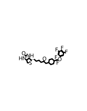 O=C(CCCC[C@@H]1SCC2NC(=O)NC21)CC1CCC(C(F)(F)Oc2cc(F)c(F)c(F)c2)CC1